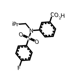 CC(C)CN(c1cccc(C(=O)O)c1)S(=O)(=O)c1ccc(F)cc1